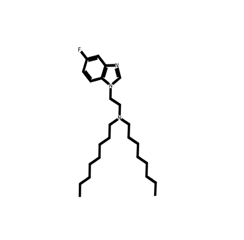 CCCCCCCCN(CCCCCCCC)CCn1cnc2cc(F)ccc21